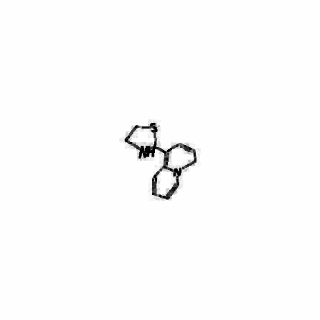 C1=CC2=C(C3NCCS3)C=CCN2C=C1